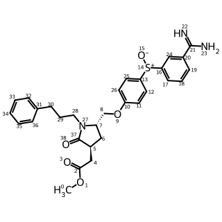 COC(=O)C[C@@H]1C[C@@H](COc2ccc([S+]([O-])c3cccc(C(=N)N)c3)cc2)N(CCCc2ccccc2)C1=O